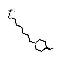 CCCCOCCCCCCN1CCC(=O)CC1